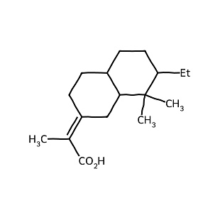 CCC1CCC2CC/C(=C(\C)C(=O)O)CC2C1(C)C